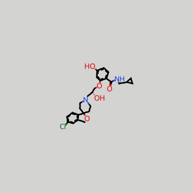 O=C(NCC1CC1)c1ccc(O)cc1OC[C@H](O)CN1CCC2(CC1)OCc1cc(Cl)ccc12